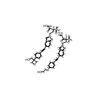 C[C@@](CCn1cc2cc(C#Cc3ccc(C4(CO)COC4)cc3)ccc2n1)(C(=O)NO)S(C)(=O)=O.C[C@@](CCn1cc2cc(C#Cc3ccc(OCCO)cc3)ccc2n1)(C(=O)NO)S(C)(=O)=O